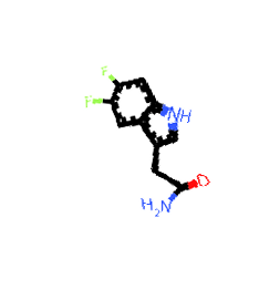 NC(=O)Cc1c[nH]c2cc(F)c(F)cc12